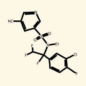 CCN(C(F)(c1ccc(F)c(Cl)c1)C(F)F)S(=O)(=O)c1cncc(C#N)c1